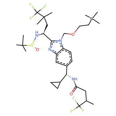 CC(CC(=O)N[C@@H](c1ccc2c(c1)nc([C@H](CC(C)(C)C(F)(F)F)N[S@+]([O-])C(C)(C)C)n2COCC[Si](C)(C)C)C1CC1)C(F)(F)F